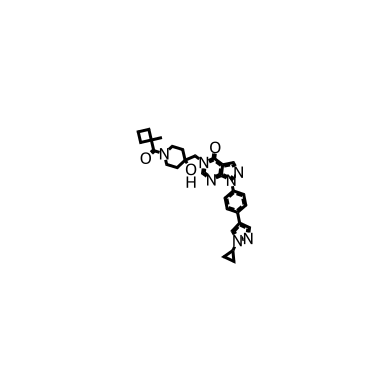 CC1(C(=O)N2CCC(O)(Cn3cnc4c(cnn4-c4ccc(-c5cnn(C6CC6)c5)cc4)c3=O)CC2)CCC1